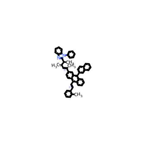 C/C(=C\[C@@H](C)C(C)c1nc2ccccc2n1-c1ccccc1)c1ccc2c(/C=C/c3ccccc3C)c3ccccc3c(-c3ccc4ccccc4c3)c2c1